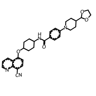 N#Cc1ccc(OC2CCC(NC(=O)c3ccc(N4CCC(C5OCCO5)CC4)cc3)CC2)c2cccnc12